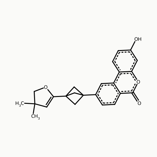 CC1(C)C=C(C23CC(c4ccc5c(=O)oc6cc(O)ccc6c5c4)(C2)C3)OC1